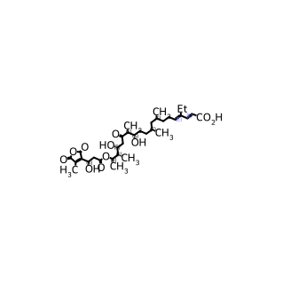 CCC(/C=C/C(=O)O)=C\CC[C@H](C)C[C@@H](C)CC[C@H](O)[C@H](C)C(=O)C[C@@H](O)[C@H](C)[C@@H](C)OC(=O)C[C@@H](O)C1=C(C)C(=O)OC1=O